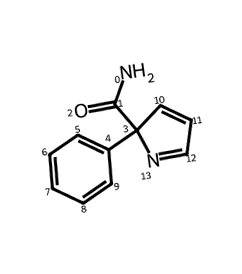 NC(=O)C1(c2ccccc2)C=CC=N1